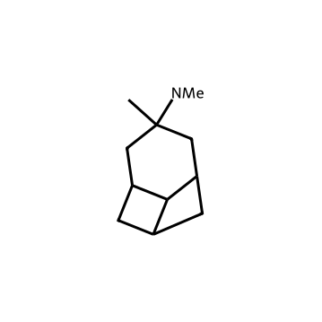 CNC1(C)CC2CC3CC(C1)C32